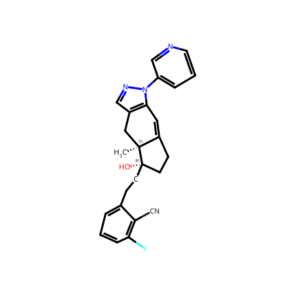 C[C@]12Cc3cnn(-c4cccnc4)c3C=C1CC[C@@]2(O)CCc1cccc(F)c1C#N